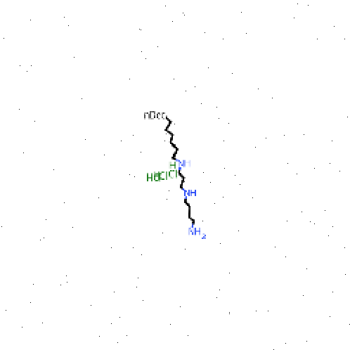 CCCCCCCCCCCCCCCCNCCCNCCCCN.Cl.Cl.Cl